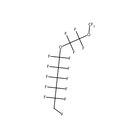 FCC(F)(F)C(F)(F)C(F)(F)C(F)(F)C(F)(F)OC(F)(F)C(F)(F)OC(F)(F)F